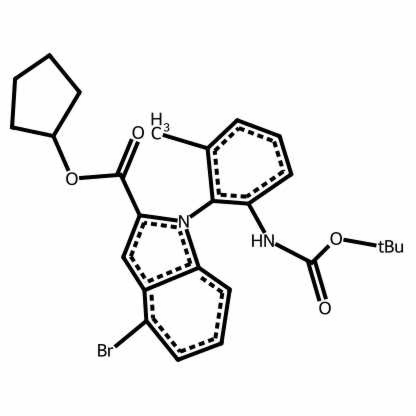 Cc1cccc(NC(=O)OC(C)(C)C)c1-n1c(C(=O)OC2CCCC2)cc2c(Br)cccc21